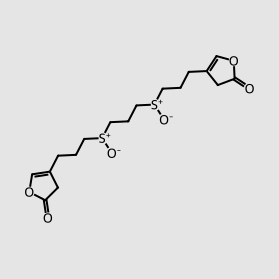 O=C1CC(CCC[S+]([O-])CCC[S+]([O-])CCCC2=COC(=O)C2)=CO1